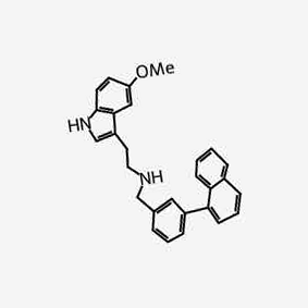 COc1ccc2[nH]cc(CCNCc3cccc(-c4cccc5ccccc45)c3)c2c1